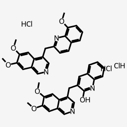 COc1cc2cncc(Cc3cc4ccccc4nc3O)c2cc1OC.COc1cc2cncc(Cc3ccc4cccc(OC)c4n3)c2cc1OC.Cl.Cl.Cl